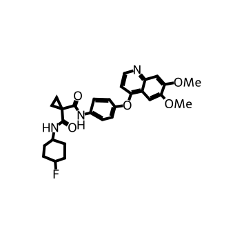 COc1cc2nccc(Oc3ccc(NC(=O)C4(C(=O)NC5CCC(F)CC5)CC4)cc3)c2cc1OC